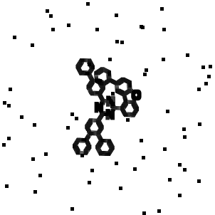 c1ccc(-c2ccc(-c3nc(-c4ccc(-c5ccccc5)c(-c5ccccc5)c4)nc(-c4cccc5oc6ccc(-c7ccccc7)cc6c45)n3)cc2)cc1